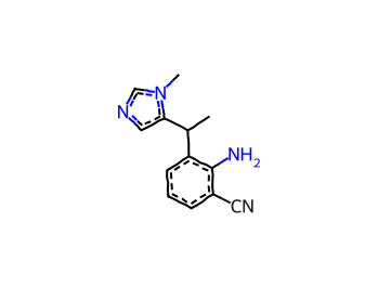 CC(c1cccc(C#N)c1N)c1cncn1C